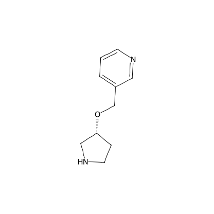 c1cncc(CO[C@@H]2CCNC2)c1